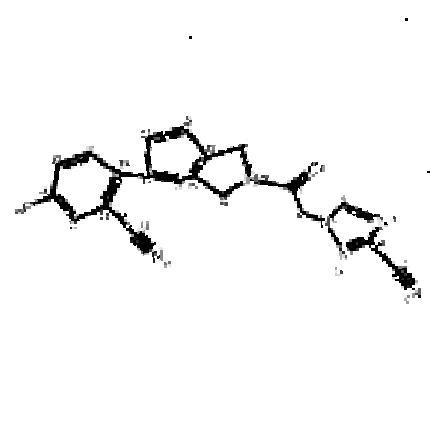 N#Cc1ncn(CC(=O)N2Cc3ccc(-c4ccc(F)cc4C#N)cc3C2)n1